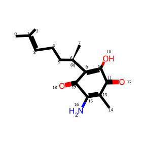 CC(C)=CCC[C@@H](C)C1=C(O)C(=O)C(C)=C(N)C1=O